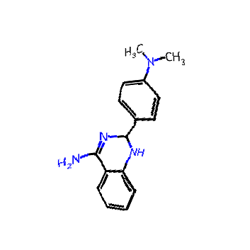 CN(C)c1ccc(C2N=C(N)c3ccccc3N2)cc1